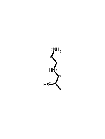 CC(S)CNCCN